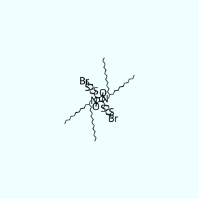 CCCCCCCCCCCCC(CCCCCCCCCC)CN1C(=O)C2=C(c3cc4sc(Br)cc4s3)N(CC(CCCCCCCCCC)CCCCCCCCCCCC)C(=O)C2=C1c1cc2sc(Br)cc2s1